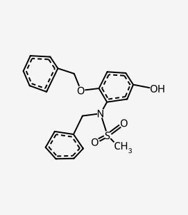 CS(=O)(=O)N(Cc1ccccc1)c1cc(O)ccc1OCc1ccccc1